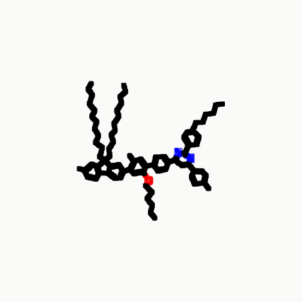 CCCCCCCCCCCCC1(CCCCCCCCCCCC)c2cc(C)ccc2-c2ccc(-c3cc(OCCCCCC)c(-c4ccc(-c5cc(-c6ccc(C)cc6)nc(-c6ccc(CCCCCC)cc6)n5)cc4)cc3C)cc21